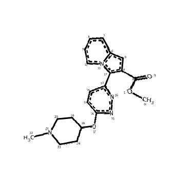 COC(=O)c1cc2ccccn2c1-c1ccc(OC2CCN(C)CC2)nn1